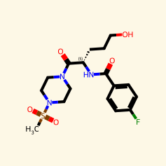 CS(=O)(=O)N1CCN(C(=O)[C@H](CCCO)NC(=O)c2ccc(F)cc2)CC1